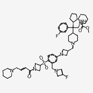 COC(=O)N[C@H]1CCC[C@@H]1C(CN1CCCCC1)(c1cccc(F)c1)C1CCN(CC2CN(c3ccc(S(=O)(=O)C4CN(C(=O)/C=C/CN5CCCCC5)C4)c(CN4CC(F)C4)c3)C2)CC1